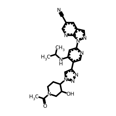 CC(=O)N1CCC(n2cc(-c3cnc(-n4ncc5cc(C#N)cnc54)cc3NC(C)C)nn2)C(O)C1